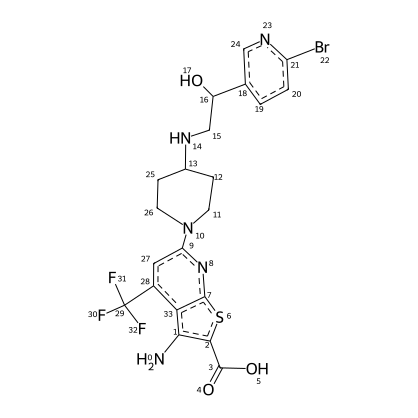 Nc1c(C(=O)O)sc2nc(N3CCC(NCC(O)c4ccc(Br)nc4)CC3)cc(C(F)(F)F)c12